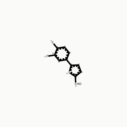 O=Cc1ccc(-c2ccc(F)c(F)c2)s1